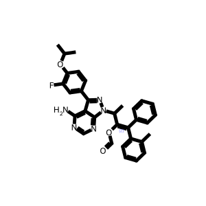 Cc1ccccc1/C(=C(\OC=O)C(C)n1nc(-c2ccc(OC(C)C)c(F)c2)c2c(N)ncnc21)c1ccccc1